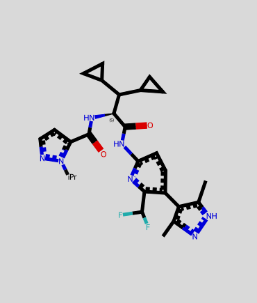 Cc1n[nH]c(C)c1-c1ccc(NC(=O)[C@@H](NC(=O)c2ccnn2C(C)C)C(C2CC2)C2CC2)nc1C(F)F